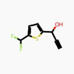 C#CC(O)c1ccc(C(F)F)s1